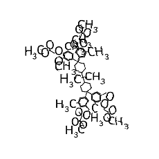 COC(=O)COc1c(C)cc(C2(c3cc(C)c(OCC(=O)OC)c(C=O)c3)CCC(C(C)(C)C3CCC(c4cc(C)c(OCC(=O)OC)c(OC)c4)(c4cc(C)c(OCC(=O)OC)c(OC)c4)CC3)CC2)cc1C=O